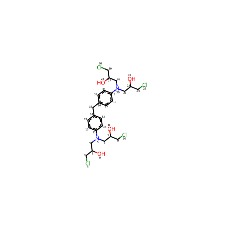 OC(CCl)CN(CC(O)CCl)c1ccc(Cc2ccc(N(CC(O)CCl)CC(O)CCl)cc2)cc1